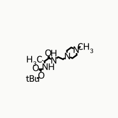 C[C@@H](NC(=O)OC(C)(C)C)C(=O)NCCN1CCN(C)CC1